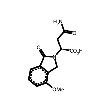 COc1cccc2c1CN([C@@H](CC(N)=O)C(=O)O)C2=O